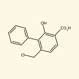 O=C(O)c1ccc(CCl)c(-c2ccccc2)c1O